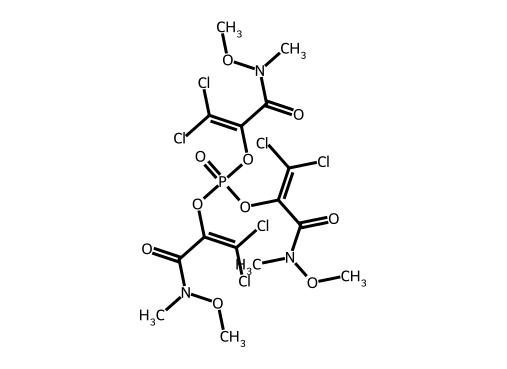 CON(C)C(=O)C(OP(=O)(OC(C(=O)N(C)OC)=C(Cl)Cl)OC(C(=O)N(C)OC)=C(Cl)Cl)=C(Cl)Cl